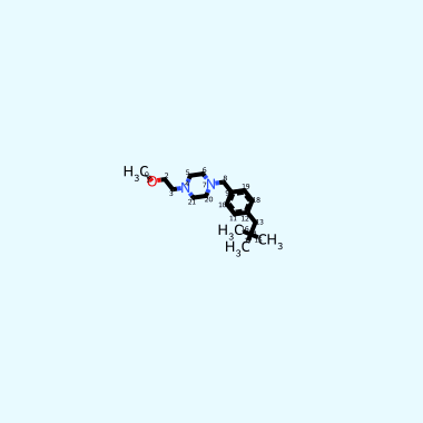 COCCN1CCN(Cc2ccc(CC(C)(C)C)cc2)CC1